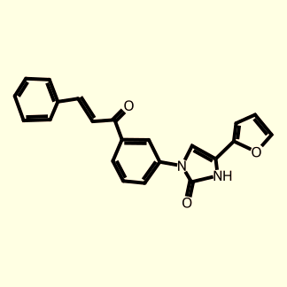 O=C(C=Cc1ccccc1)c1cccc(-n2cc(-c3ccco3)[nH]c2=O)c1